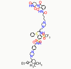 CCC12CC(C3=C(CN4CCN(c5ccc(C(=O)NS(=O)(=O)c6ccc(N[C@H](CCN7CCN(CCCCC(=O)Nc8cccc9c8C(=O)N(C8CCC(=O)NC8=O)C9=O)CC7)CSc7ccccc7)c(S(=O)(=O)C(F)(F)F)c6)cc5)CC4)CCC(C)(C)C3)(C1)C2